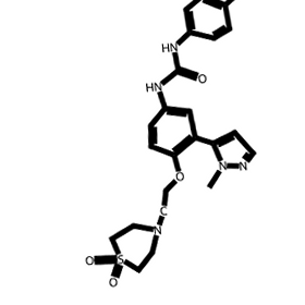 Cn1nccc1-c1cc(NC(=O)Nc2ccc(Cl)cc2)ccc1OCCN1CCS(=O)(=O)CC1